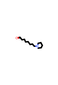 O=[C]CCCCCCCN1CCCCC1